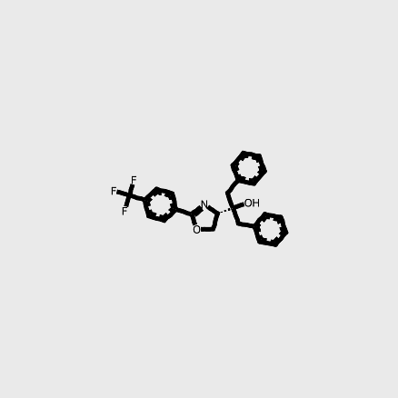 OC(Cc1ccccc1)(Cc1ccccc1)[C@@H]1COC(c2ccc(C(F)(F)F)cc2)=N1